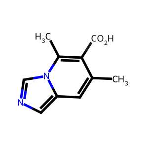 Cc1cc2cncn2c(C)c1C(=O)O